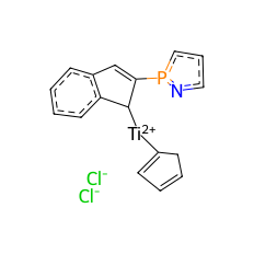 C1=CC[C]([Ti+2][CH]2C(p3cccn3)=Cc3ccccc32)=C1.[Cl-].[Cl-]